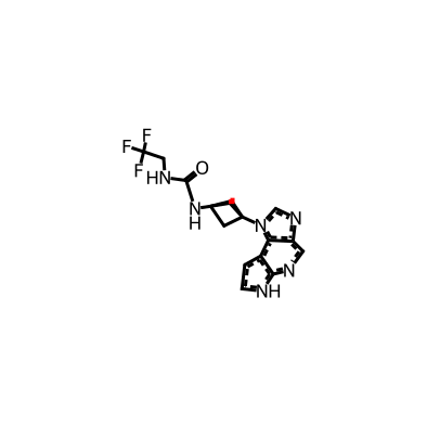 O=C(NCC(F)(F)F)NC12CC(n3cnc4cnc5[nH]ccc5c43)(C1)C2